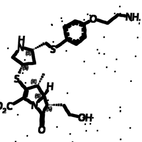 C[C@H]1C(S[C@@H]2CN[C@H](CSc3ccc(OCCN)cc3)C2)=C(C(=O)O)N2C(=O)[C@@H](CCO)[C@@H]12